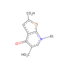 CCn1cc(C(=O)O)c(=O)c2cc(C(=O)O)sc21